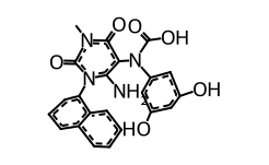 Cn1c(=O)c(N(C(=O)O)c2cc(O)cc(O)c2)c(N)n(-c2cccc3ccccc23)c1=O